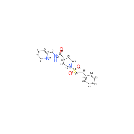 O=C(NCc1ccccn1)C1CCN(S(=O)(=O)/C=C/c2ccccc2)CC1